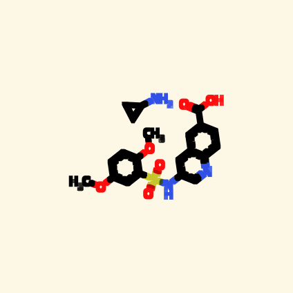 COc1ccc(OC)c(S(=O)(=O)Nc2cnc3ccc(C(=O)O)cc3c2)c1.NC1CC1